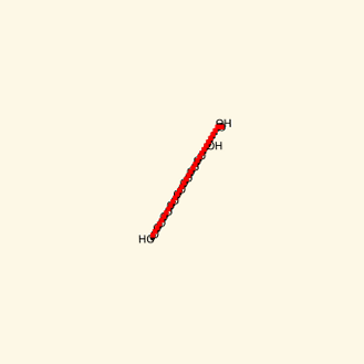 O=C(O)CCCCCCCCCC(O)CCCCCOCCOCCOCCOCCOCCOCCOCCOCCOCCOCCOCCOCCOCCOCCOCCO